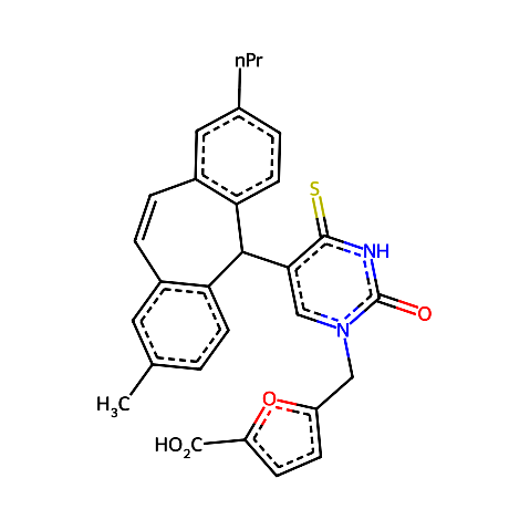 CCCc1ccc2c(c1)C=Cc1cc(C)ccc1C2c1cn(Cc2ccc(C(=O)O)o2)c(=O)[nH]c1=S